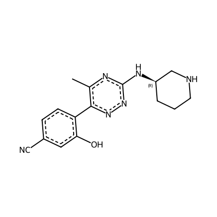 Cc1nc(N[C@@H]2CCCNC2)nnc1-c1ccc(C#N)cc1O